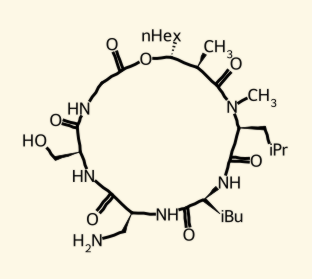 CCCCCC[C@H]1OC(=O)CNC(=O)[C@H](CO)NC(=O)[C@H](CN)NC(=O)[C@H]([C@H](C)CC)NC(=O)[C@H](CC(C)C)N(C)C(=O)[C@@H]1C